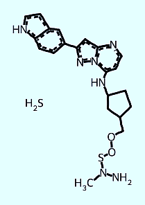 CN(N)SOOCC1CCC(Nc2ccnc3cc(-c4ccc5[nH]ccc5c4)nn23)C1.S